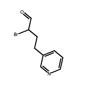 O=CC(Br)CCc1cccnc1